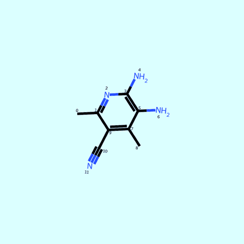 Cc1nc(N)c(N)c(C)c1C#N